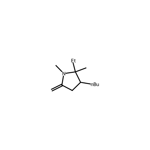 C=C1CC(CCCC)C(C)(CC)N1C